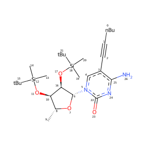 CCCCC#Cc1cn([C@@H]2O[C@H](C)[C@@H](O[Si](C)(C)C(C)(C)C)[C@H]2O[Si](C)(C)C(C)(C)C)c(=O)nc1N